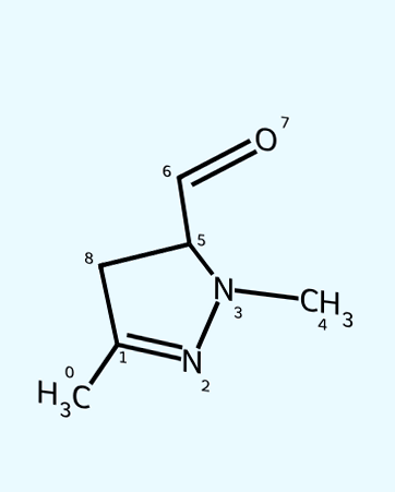 CC1=NN(C)C(C=O)C1